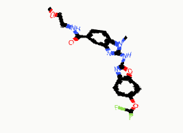 COCCNC(=O)c1ccc2c(c1)nc(Nc1nc3ccc(OC(F)F)cc3o1)n2C